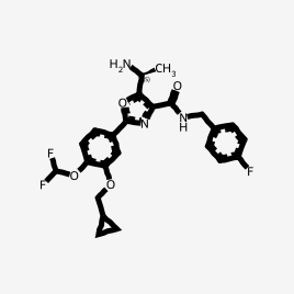 C[C@H](N)c1oc(-c2ccc(OC(F)F)c(OCC3CC3)c2)nc1C(=O)NCc1ccc(F)cc1